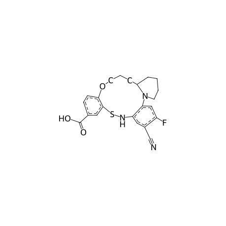 N#Cc1cc2c(cc1F)N1CCCCC1CCCOc1ccc(C(=O)O)cc1SN2